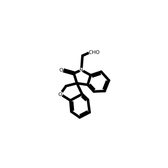 O=CCN1C(=O)C2(COc3ccccc32)c2ccccc21